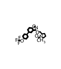 CC(=O)N1CCCC1COc1noc2ccc(-c3ccc(OC(F)(F)F)cc3)cc12